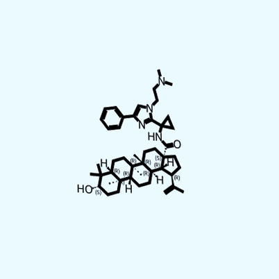 C=C(C)[C@@H]1CC[C@]2(C(=O)NC3(c4nc(-c5ccccc5)cn4CCN(C)C)CC3)CC[C@]3(C)[C@H](CC[C@@H]4[C@@]5(C)CC[C@H](O)C(C)(C)[C@@H]5CC[C@]43C)[C@@H]12